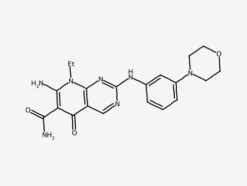 CCn1c(N)c(C(N)=O)c(=O)c2cnc(Nc3cccc(N4CCOCC4)c3)nc21